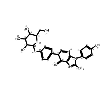 Cc1nc2c(n1-c1ccc(C#N)cc1)N=CC(c1ccc(OC3OC(CO)C(O)C(O)C3O)cc1)C2=N